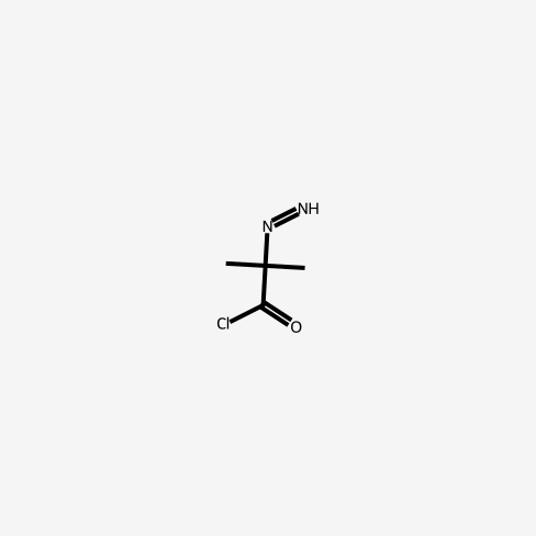 CC(C)(N=N)C(=O)Cl